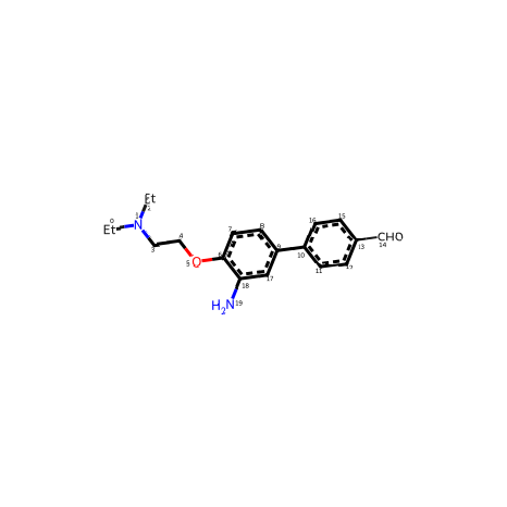 CCN(CC)CCOc1ccc(-c2ccc(C=O)cc2)cc1N